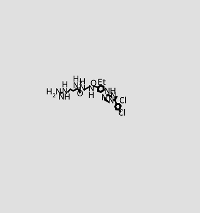 CCc1cc(Nc2nccn3c(-c4ccc(Cl)cc4Cl)cnc23)ccc1C(=O)NCCNC(=O)[C@H](N)CCCNC(=N)N